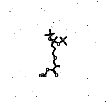 C=C(COCCC[Si](C)(O[Si](C)(C)C)O[Si](C)(C)C)C(=O)OCCCC